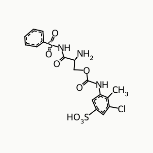 Cc1c(Cl)cc(S(=O)(=O)O)cc1NC(=O)OC[C@H](N)C(=O)NS(=O)(=O)c1ccccc1